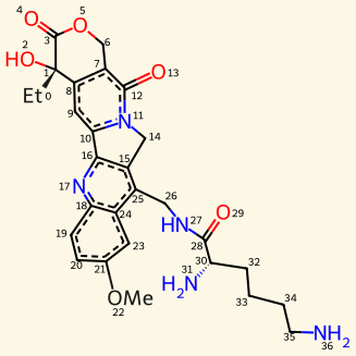 CC[C@@]1(O)C(=O)OCc2c1cc1n(c2=O)Cc2c-1nc1ccc(OC)cc1c2CNC(=O)[C@@H](N)CCCCN